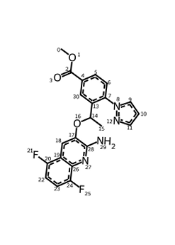 COC(=O)c1ccc(-n2cccn2)c(C(C)Oc2cc3c(F)ccc(F)c3nc2N)c1